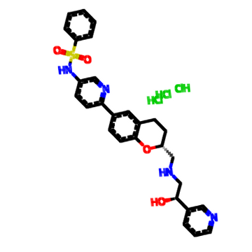 Cl.Cl.Cl.O=S(=O)(Nc1ccc(-c2ccc3c(c2)CC[C@H](CNC[C@H](O)c2cccnc2)O3)nc1)c1ccccc1